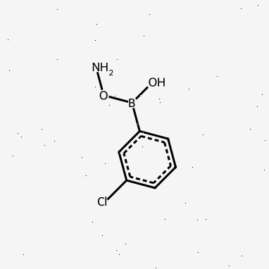 NOB(O)c1cccc(Cl)c1